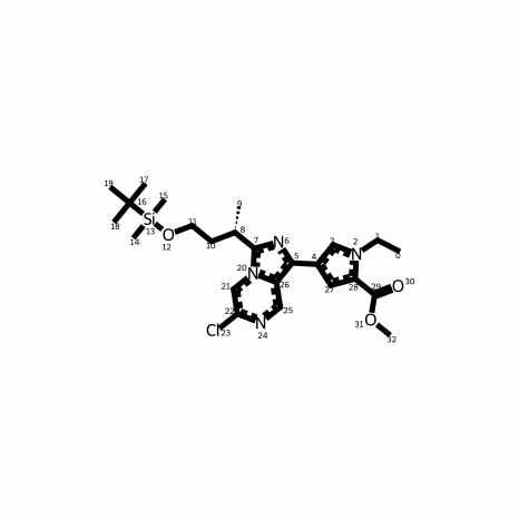 CCn1cc(-c2nc([C@@H](C)CCO[Si](C)(C)C(C)(C)C)n3cc(Cl)ncc23)cc1C(=O)OC